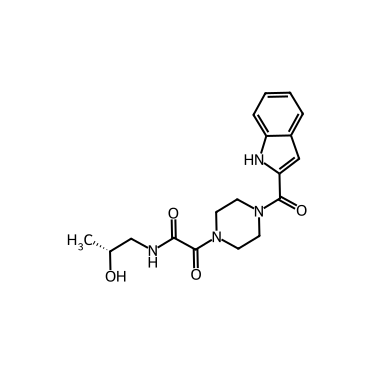 C[C@@H](O)CNC(=O)C(=O)N1CCN(C(=O)c2cc3ccccc3[nH]2)CC1